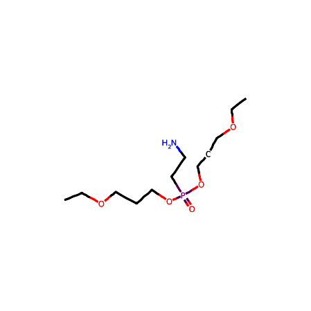 CCOCCCOP(=O)(CCN)OCCCOCC